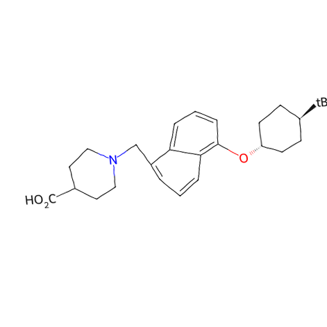 CC(C)(C)[C@H]1CC[C@H](Oc2cccc3c(CN4CCC(C(=O)O)CC4)cccc23)CC1